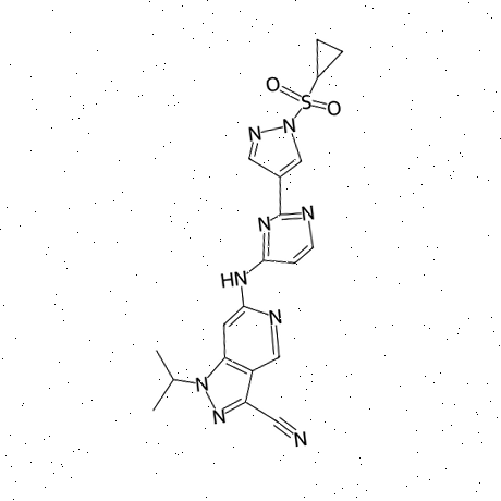 CC(C)n1nc(C#N)c2cnc(Nc3ccnc(-c4cnn(S(=O)(=O)C5CC5)c4)n3)cc21